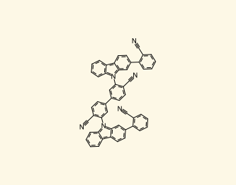 N#Cc1ccccc1-c1ccc2c3ccccc3n(-c3cc(-c4ccc(C#N)c(-n5c6ccccc6c6ccc(-c7ccccc7C#N)cc65)c4)ccc3C#N)c2c1